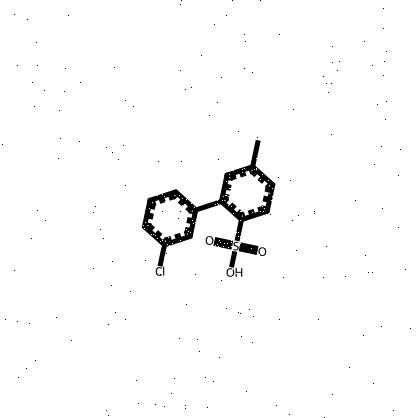 Cc1ccc(S(=O)(=O)O)c(-c2cccc(Cl)c2)c1